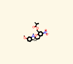 C=C(C)C(=O)OCc1cc([N+](=O)[O-])cc2c1OC1(C=C2)[Se]c2ccc(OC)cc2N1C